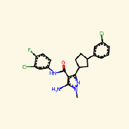 Cn1nc(C2CCC(c3cccc(Cl)c3)C2)c(C(=O)Nc2ccc(F)c(Cl)c2)c1N